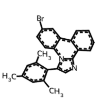 Cc1cc(C)c(-c2cnc3c4ccccc4c4cc(Br)ccc4n23)c(C)c1